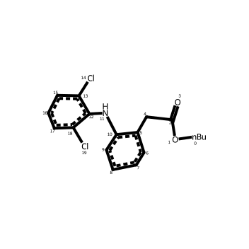 CCCCOC(=O)Cc1ccccc1Nc1c(Cl)cccc1Cl